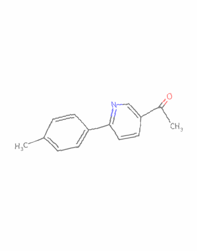 CC(=O)c1ccc(-c2ccc(C)cc2)nc1